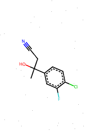 CC(O)(CC#N)c1ccc(Cl)c(F)c1